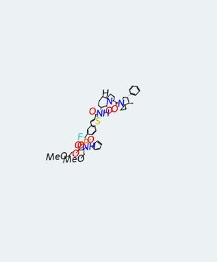 COCCOC(=O)[C@H](COC)NP(=O)(Oc1ccccc1)[C@H](F)c1ccc2sc(C(=O)NC3CCC[C@H]4CC[C@@H](C(=O)N5C[C@H](c6ccccc6)[C@@H](C)C56CC6)N4C3=O)cc2c1